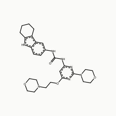 O=C(Nc1ccc2[nH]c3c(c2c1)CCCC3)Nc1cc(OCCN2CCOCC2)nc(N2CCOCC2)n1